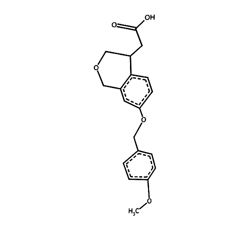 COc1ccc(COc2ccc3c(c2)COCC3CC(=O)O)cc1